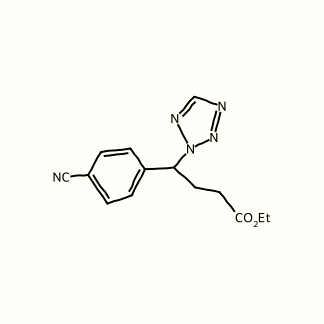 CCOC(=O)CCC(c1ccc(C#N)cc1)n1ncnn1